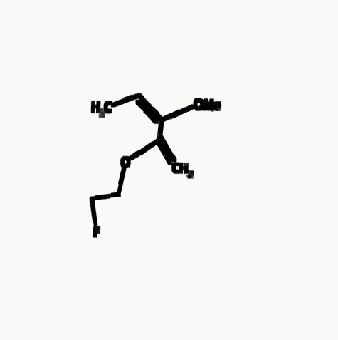 C=C(OCCF)/C(=C\C)OC